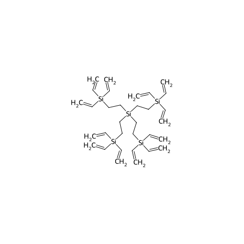 C=C[Si](C=C)(C=C)CC[Si](CC[Si](C=C)(C=C)C=C)(CC[Si](C=C)(C=C)C=C)CC[Si](C=C)(C=C)C=C